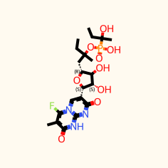 CCC(C)(C[C@H]1O[C@@H](c2cn3c(F)c(C)c(=O)[nH]c3nc2=O)[C@@H](O)C1O)OP(=O)(O)C(C)(O)CC